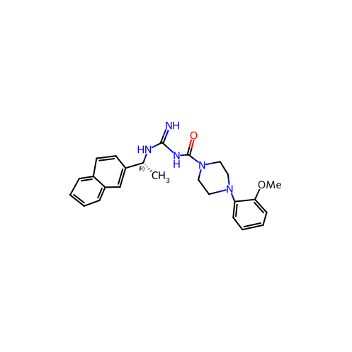 COc1ccccc1N1CCN(C(=O)NC(=N)N[C@H](C)c2ccc3ccccc3c2)CC1